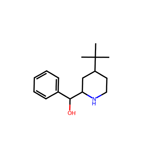 CC(C)(C)C1CCNC(C(O)c2ccccc2)C1